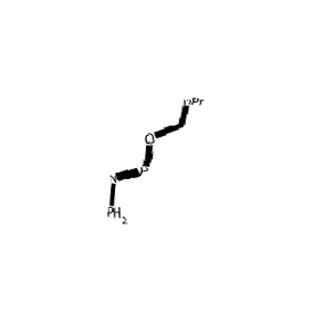 CCCCOP=NP